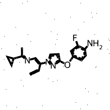 C=C/C(=C\N=C(/C)C1CC1)n1ccc(Oc2ccc(N)c(F)c2)n1